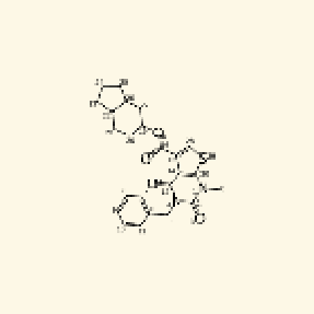 Cn1c(=O)n(Cc2ccccc2)c(=O)c2c(C(=O)OC3CCC4CCCC4C3)csc21